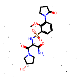 COc1c(N2CCCC2=O)cccc1S(=O)(=O)N[C@@H](C(N)=O)C(=O)N1CC[C@H](O)C1